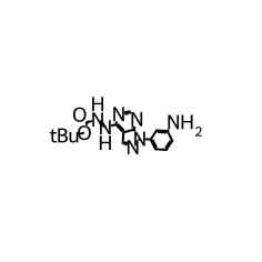 CC(C)(C)OC(=O)NNc1ncnc2c1cnn2-c1cccc(N)c1